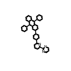 c1ccc(-c2c3ccccc3c(-c3ccccc3)c3cc(-c4ccc(-c5cccc(-c6ncccn6)n5)cc4)ccc23)cc1